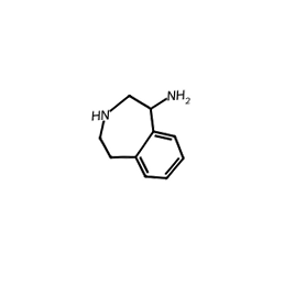 NC1CNCCc2ccccc21